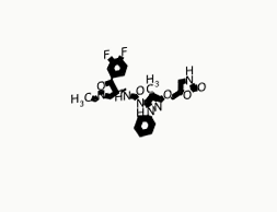 CCN1C[C@@H](CNC(=O)Nc2c(C)c(OCC3CNC(=O)O3)nn2-c2ccccc2)[C@H](c2ccc(F)c(F)c2)O1